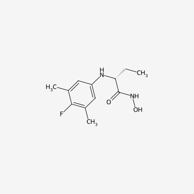 CC[C@@H](Nc1cc(C)c(F)c(C)c1)C(=O)NO